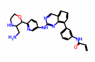 C=CC(=O)Nc1cccc(-c2cccc3cnc(Nc4ccc(C5OCCNC5CN)nc4)nc23)c1